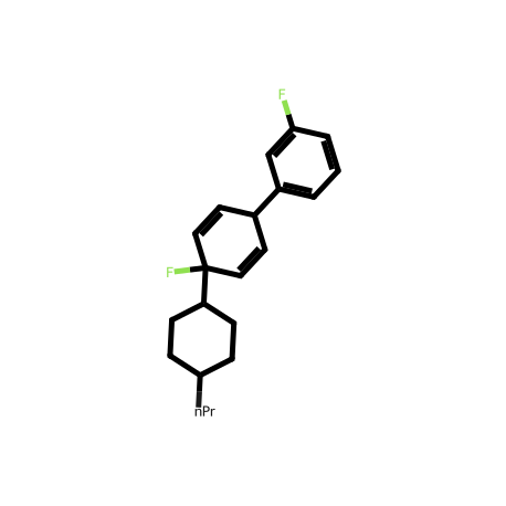 CCCC1CCC(C2(F)C=CC(c3cccc(F)c3)C=C2)CC1